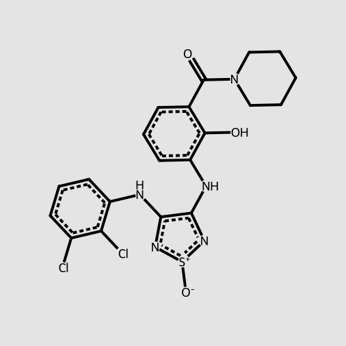 O=C(c1cccc(Nc2n[s+]([O-])nc2Nc2cccc(Cl)c2Cl)c1O)N1CCCCC1